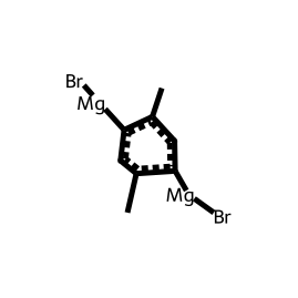 Cc1c[c]([Mg][Br])c(C)c[c]1[Mg][Br]